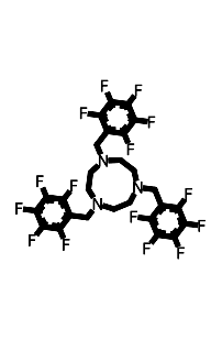 Fc1c(F)c(F)c(CN2CCN(Cc3c(F)c(F)c(F)c(F)c3F)CCN(Cc3c(F)c(F)c(F)c(F)c3F)CC2)c(F)c1F